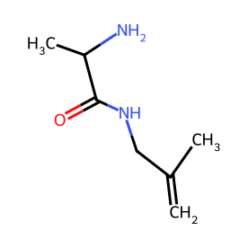 C=C(C)CNC(=O)C(C)N